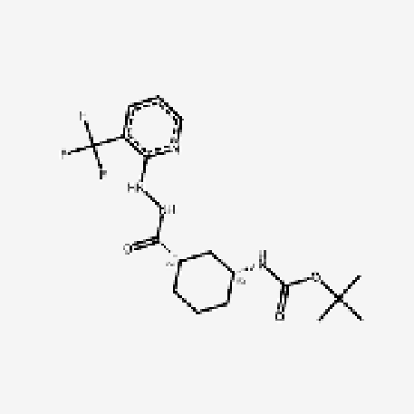 CC(C)(C)OC(=O)N[C@@H]1CCC[C@H](C(=O)NNc2ncccc2C(F)(F)F)C1